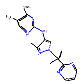 CNc1nc(Nc2cn(C(C)(C)c3ncccn3)nc2C)ncc1C(F)(F)F